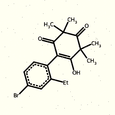 CCc1cc(Br)ccc1C1=C(O)C(C)(C)C(=O)C(C)(C)C1=O